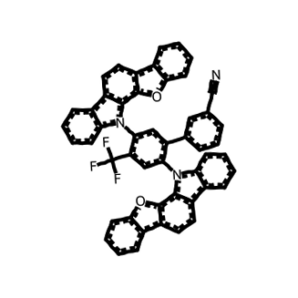 N#Cc1cccc(-c2cc(-n3c4ccccc4c4ccc5c6ccccc6oc5c43)c(C(F)(F)F)cc2-n2c3ccccc3c3ccc4c5ccccc5oc4c32)c1